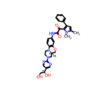 Cc1cc(-c2ccccc2)c(C(=O)C(=O)Nc2ccc3c(c2)OC[C@H]2CN(c4ncc([C@@H](O)CO)cn4)CCN32)n1C